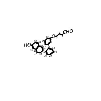 O=CCCCOc1ccc([C@H]2c3ccc(O)cc3CC[C@H]2c2ccccc2)cc1